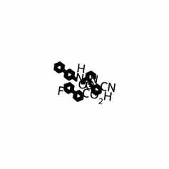 N#Cc1cccc(Oc2ncccc2C(=O)NCc2ccc(-c3ccccc3)cc2)c1.O=C(O)c1cccc(-c2cccc(F)c2)c1